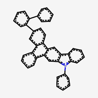 c1ccc(-c2ccccc2-c2ccc3c(c2)c2ccccc2c2cc4c(cc32)c2ccccc2n4-c2ccccc2)cc1